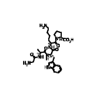 C[C@H](NC(=O)CN)C(=O)N[C@@H](Cc1c[nH]c2ccccc12)C(=O)N[C@@H](CCCCN)C(=O)N1CCC[C@H]1C(=O)O